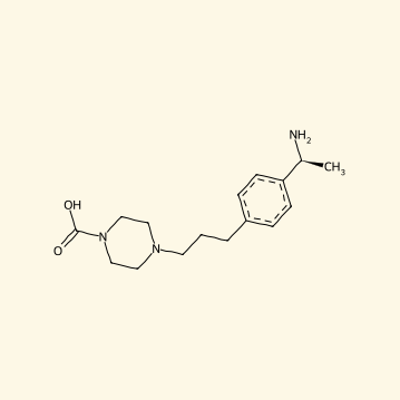 C[C@H](N)c1ccc(CCCN2CCN(C(=O)O)CC2)cc1